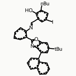 CCCCc1cc(I)cc(/C=N/c2ccccc2-c2nc3c(-c4cccc5ccccc45)cc(C(C)(C)C)cc3o2)c1O